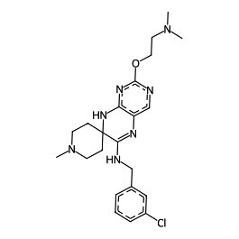 CN(C)CCOc1ncc2c(n1)NC1(CCN(C)CC1)C(NCc1cccc(Cl)c1)=N2